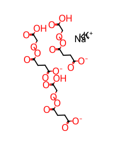 O=C([O-])CCC(=O)OOCC(=O)O.O=C([O-])CCC(=O)OOCC(=O)O.O=C([O-])CCC(=O)OOCC(=O)O.[K+].[K+].[Na+]